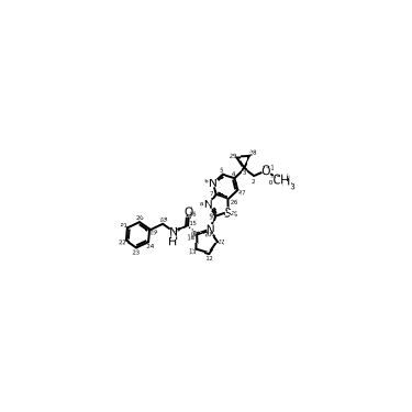 COCC1(c2cnc3nc(N4CCC[C@@H]4C(=O)NCc4ccccc4)sc3c2)CC1